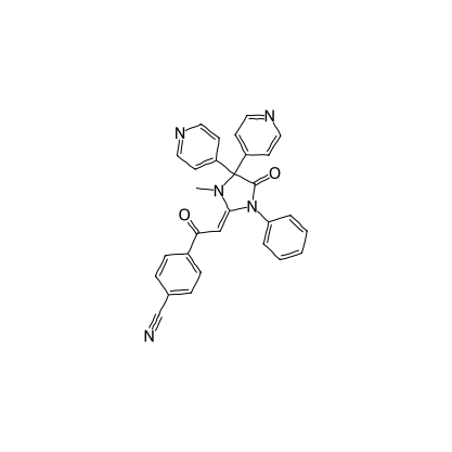 CN1C(=CC(=O)c2ccc(C#N)cc2)N(c2ccccc2)C(=O)C1(c1ccncc1)c1ccncc1